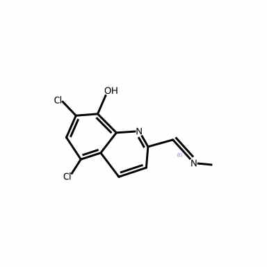 C/N=C/c1ccc2c(Cl)cc(Cl)c(O)c2n1